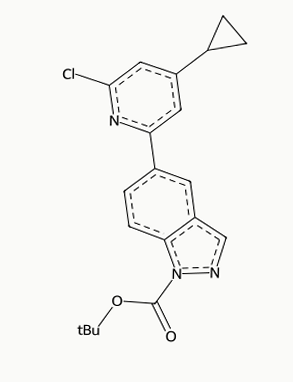 CC(C)(C)OC(=O)n1ncc2cc(-c3cc(C4CC4)cc(Cl)n3)ccc21